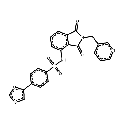 O=C1c2cccc(NS(=O)(=O)c3ccc(-c4cnco4)cc3)c2C(=O)N1Cc1cccnc1